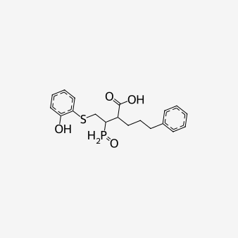 O=[PH2]C(CSc1ccccc1O)C(CCCc1ccccc1)C(=O)O